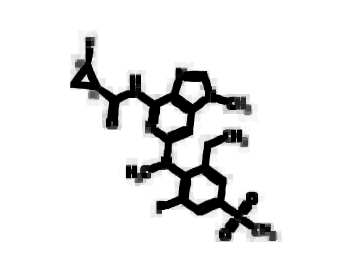 CCc1cc(S(C)(=O)=O)cc(F)c1N(C)c1cc2c(ncn2C)c(NC(=O)[C@H]2C[C@H]2F)n1